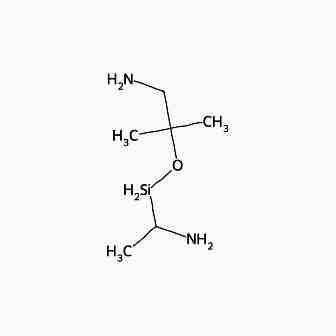 CC(N)[SiH2]OC(C)(C)CN